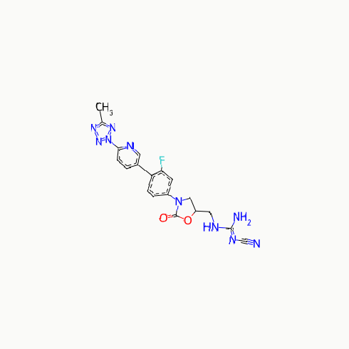 Cc1nnn(-c2ccc(-c3ccc(N4CC(CN/C(N)=N/C#N)OC4=O)cc3F)cn2)n1